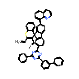 C=CC1=C(C=C)C2(c3ccccc3S1)c1cc(-c3nc(-c4ccccc4)nc(-c4cccc(-c5ccccc5)c4)n3)ccc1-c1ccc(-c3cccc4cccnc34)cc12